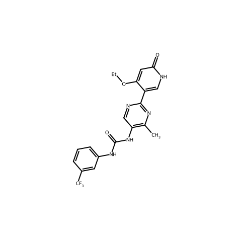 CCOc1cc(=O)[nH]cc1-c1ncc(NC(=O)Nc2cccc(C(F)(F)F)c2)c(C)n1